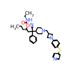 CCC[C@H](CC(C#N)(c1ccccc1)C1CCN(CC2CN(c3ccc(Sc4ccncc4)cc3)C2)CC1)OC(=O)NCC